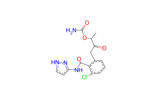 CC(OC(N)=O)C(=O)Cc1cccc(Cl)c1C(=O)Nc1cc[nH]n1